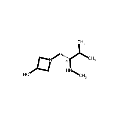 CN[C@H](CN1CC(O)C1)C(C)C